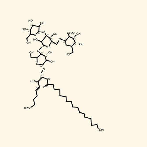 CCCCCCCCCCCCC/C=C/[C@@H](O)[C@H](CO[C@@H]1OC(CO)[C@@H](O[C@@H]2OC(CO[C@@H]3OC(CO)[C@@H](O)[C@H](O)C3NC(C)=O)[C@H](O)[C@H](O[C@H]3OC(CO)[C@H](O)[C@H](O)C3O)C2O)[C@H](O)C1O)NC(=O)CCCCCCCCCCCCCCCCCCCCCCCCC